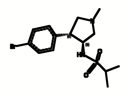 CC(C)S(=O)(=O)N[C@@H]1CN(C)C[C@H]1c1ccc(Br)cc1